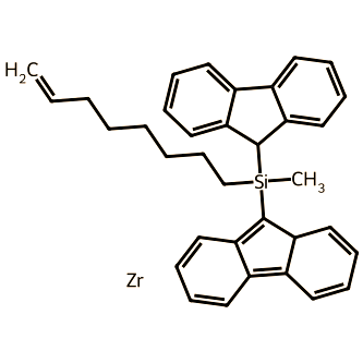 C=CCCCCCC[Si](C)(C1=c2ccccc2=C2C=CC=CC21)C1c2ccccc2-c2ccccc21.[Zr]